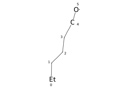 [CH2]CCCCC[O]